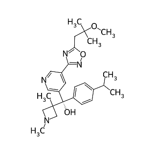 COC(C)(C)Cc1nc(-c2cncc([C@@](O)(c3ccc(C(C)C)cc3)C3(C)CN(C)C3)c2)no1